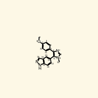 COc1ccc(-c2ncn(C)c2-c2ccc3[nH]ncc3c2)cc1